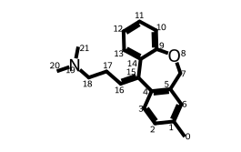 Cc1ccc2c(c1)COc1ccccc1C2=CCCN(C)C